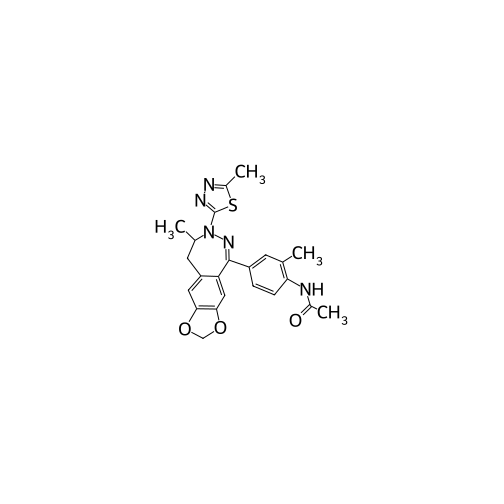 CC(=O)Nc1ccc(C2=NN(c3nnc(C)s3)C(C)Cc3cc4c(cc32)OCO4)cc1C